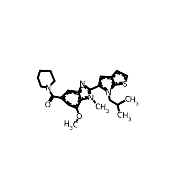 COc1cc(C(=O)N2CCCCC2)cc2nc(-c3cc4ccsc4n3CC(C)C)n(C)c12